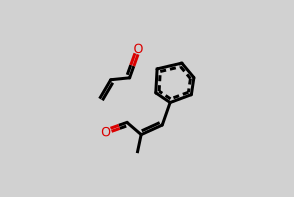 C=CC=O.CC(C=O)=Cc1ccccc1